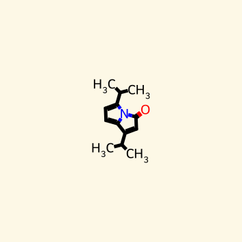 CC(C)C1=CC(=O)n2c1ccc2C(C)C